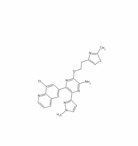 Cc1nc(CCOc2nc(-c3cc(Cl)c4ncccc4c3)c(-c3ccn(C)n3)nc2N)cs1